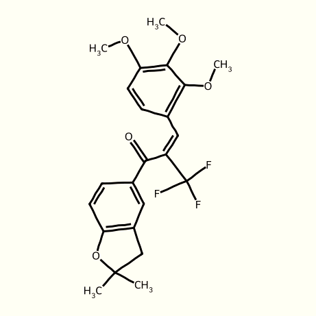 COc1ccc(/C=C(\C(=O)c2ccc3c(c2)CC(C)(C)O3)C(F)(F)F)c(OC)c1OC